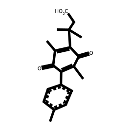 CC1=C(c2ccc(C)cc2)C(=O)C(C)=C(C(C)(C)CC(=O)O)C1=O